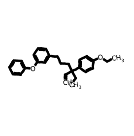 C=CC(CC)(CCCc1cccc(Oc2ccccc2)c1)c1ccc(OCC)cc1